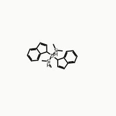 C[SiH](C)[Zr]([CH]1C=Cc2ccccc21)([CH]1C=Cc2ccccc21)[SiH](C)C